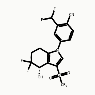 N#Cc1ccc(-n2cc(S(=O)(=O)C(F)(F)F)c3c2CCC(F)(F)[C@H]3O)cc1C(F)F